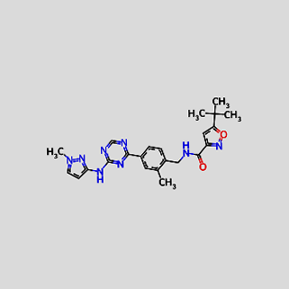 Cc1cc(-c2ncnc(Nc3ccn(C)n3)n2)ccc1CNC(=O)c1cc(C(C)(C)C)on1